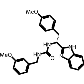 COc1ccc(C[C@@H](NC(=O)NCc2cccc(OC)c2)c2nc3ccccc3[nH]2)cc1